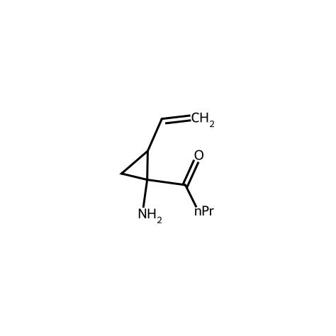 C=CC1CC1(N)C(=O)CCC